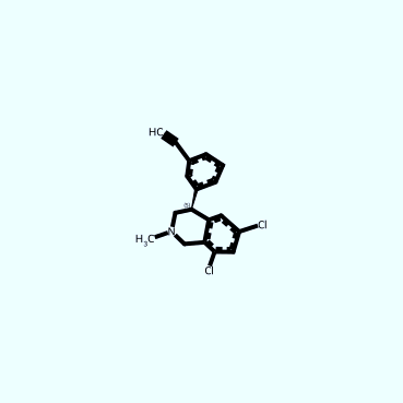 C#Cc1cccc([C@@H]2CN(C)Cc3c(Cl)cc(Cl)cc32)c1